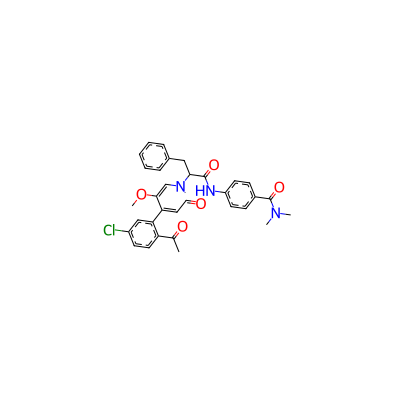 COC(=C/N(C)C(Cc1ccccc1)C(=O)Nc1ccc(C(=O)N(C)C)cc1)/C(=C\C=O)c1cc(Cl)ccc1C(C)=O